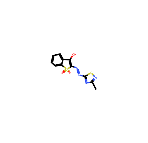 Cc1nsc(/N=N/C2=C(O)c3ccccc3S2(=O)=O)n1